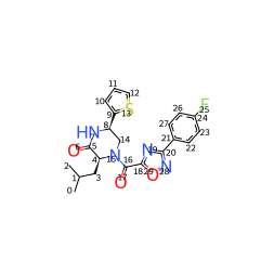 CC(C)C[C@H]1C(=O)N[C@@H](c2cccs2)CN1C(=O)c1nc(-c2ccc(F)cc2)no1